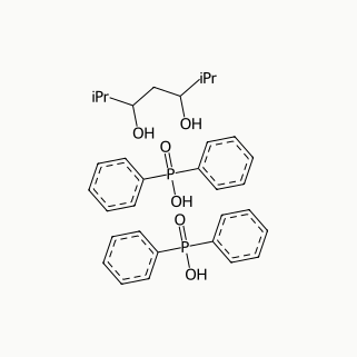 CC(C)C(O)CC(O)C(C)C.O=P(O)(c1ccccc1)c1ccccc1.O=P(O)(c1ccccc1)c1ccccc1